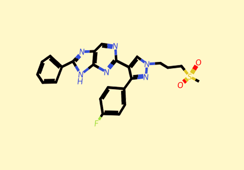 CS(=O)(=O)CCCn1cc(-c2ncc3nc(-c4ccccc4)[nH]c3n2)c(-c2ccc(F)cc2)n1